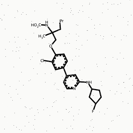 CC(C)CC(C)(COc1ccc(-c2ccnc(NC3CCC(F)C3)c2)cc1Cl)NC(=O)O